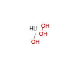 CO.OO.[LiH]